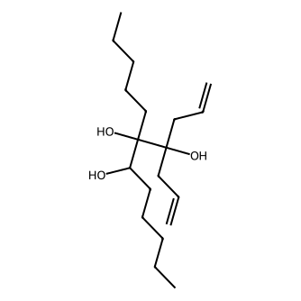 C=CCC(O)(CC=C)C(O)(CCCCC)C(O)CCCCC